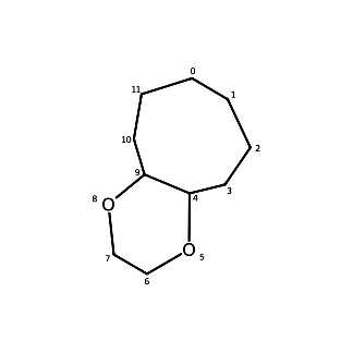 C1CCCC2OCCOC2CC1